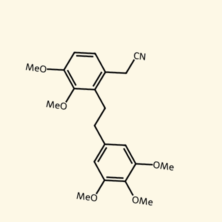 COc1cc(CCc2c(CC#N)ccc(OC)c2OC)cc(OC)c1OC